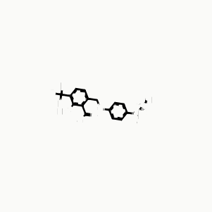 CN(c1ccc(OCc2ccc(C(F)(F)F)c(O)c2C(=O)O)cc1)S(C)(=O)=O